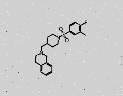 Cc1cc(S(=O)(=O)N2CCC(CN3CCc4ccccc4C3)CC2)ccc1F